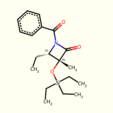 CC[C@@H]1N(C(=O)c2ccccc2)C(=O)[C@]1(C)O[Si](CC)(CC)CC